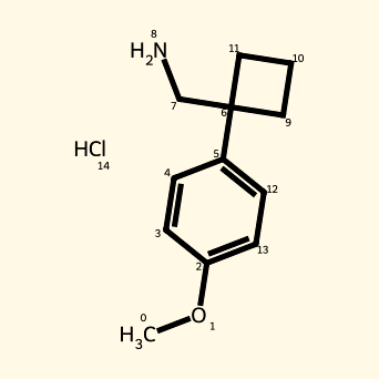 COc1ccc(C2(CN)CCC2)cc1.Cl